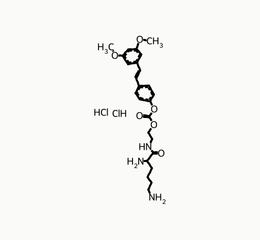 COc1cc(C=Cc2ccc(OC(=O)OCCNC(=O)C(N)CCCCN)cc2)cc(OC)c1.Cl.Cl